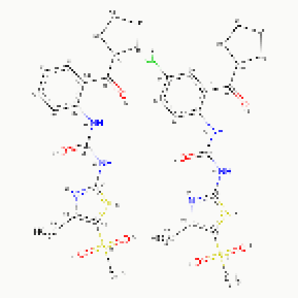 CS(=O)(=O)c1sc(NC(=O)Nc2ccc(Cl)cc2C(=O)C2CCCC2)nc1C(=O)O.CS(=O)(=O)c1sc(NC(=O)Nc2ccccc2C(=O)C2CCCC2)nc1C(=O)O